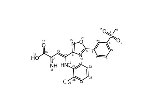 CS(=O)(=O)c1cccc(-c2nc(/C(=C/C(=N)C(=O)O)Nc3ccccc3Cl)no2)c1